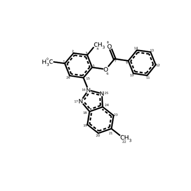 Cc1cc(C)c(OC(=O)c2ccccc2)c(-n2nc3ccc(C)cc3n2)c1